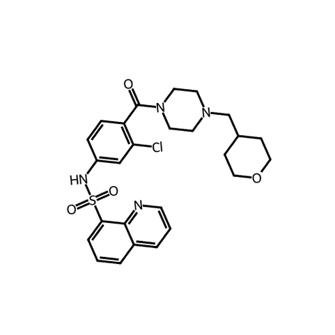 O=C(c1ccc(NS(=O)(=O)c2cccc3cccnc23)cc1Cl)N1CCN(CC2CCOCC2)CC1